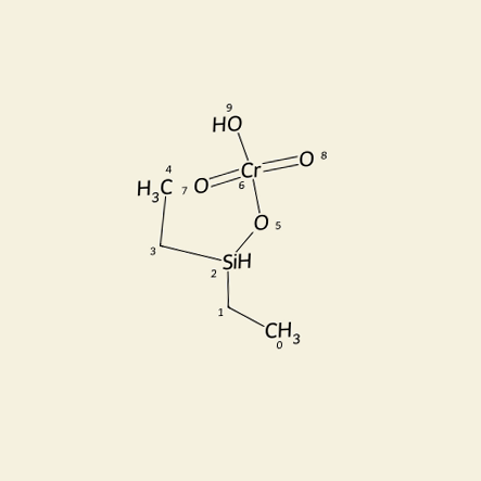 CC[SiH](CC)[O][Cr](=[O])(=[O])[OH]